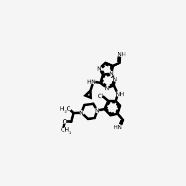 COCC(C)N1CCN(c2cc(C=N)cc(Nc3nc(NC4CC4)c4ncc(C=N)n4n3)c2Cl)CC1